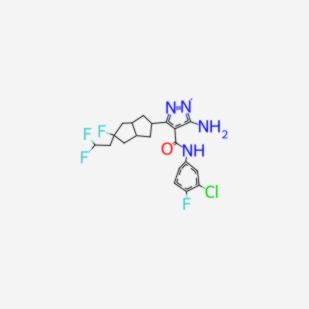 Cn1nc(C2CC3CC(F)(CC(F)F)CC3C2)c(C(=O)Nc2ccc(F)c(Cl)c2)c1N